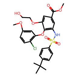 COC(=O)c1cc(NS(=O)(=O)c2ccc(C(C)(C)C)cc2)c(Oc2cc(OC)ccc2Cl)c(OCCO)c1